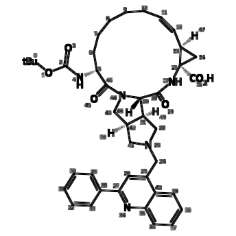 CC(C)(C)OC(=O)N[C@@H]1CCCCC/C=C\[C@H]2C[C@@]2(C(=O)O)NC(=O)[C@@H]2[C@H]3CN(Cc4cc(-c5ccccc5)nc5ccccc45)C[C@H]3CN2C1=O